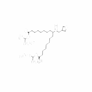 CCCCCCCCC(CC)OC(=O)CCCCCCCC(CCCCCCCC(=O)OC(CCCCCCCC)CCCCCCCC)NCC1COC1